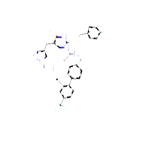 CN(Cc1ccc(-c2ccc(C(F)(F)F)cc2C(F)(F)F)cc1)C(C=O)n1cc(Cc2cnn(C)c2)c(=O)nc1SCc1ccc(F)cc1